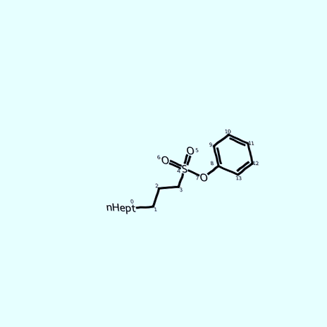 CCCCCCCCCCS(=O)(=O)Oc1ccccc1